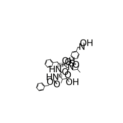 CC(C)CN(C[C@@H](O)[C@H](Cc1ccccc1)NC(=O)[C@@H](NC(=O)OCc1ccccc1)C(C)C(=O)O)S(=O)(=O)c1ccc(C=NO)cc1